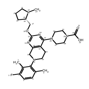 Cc1ccc(F)c(C)c1N1CCc2c(nc(OC[C@@H]3CCCN3C)nc2N2CCN(C(=O)O)CC2)C1